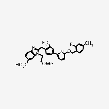 COCCn1c(Cc2ccc(-c3cccc(OCc4ccc(C)cc4F)n3)cc2C(F)(F)F)nc2ccc(C(=O)O)cc21